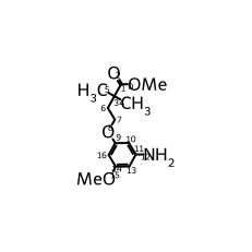 COC(=O)C(C)(C)CCOc1cc(N)cc(OC)c1